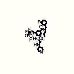 O=C(O)C(F)(F)F.O=C(O)CCCN(Cc1cccc(F)c1)C(=O)c1cc(Cl)cc(OCCNc2ccncc2)c1